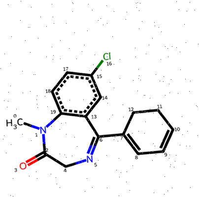 CN1C(=O)CN=C(C2=CC=CCC2)c2cc(Cl)ccc21